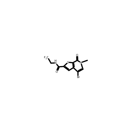 Cn1cc(Br)c2cc(C(=O)NCC(F)(F)F)sc2c1=O